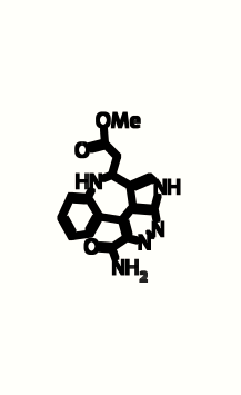 COC(=O)CC1Nc2ccccc2-c2c(C(N)=O)nnc3[nH]cc1c23